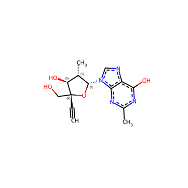 C#C[C@]1(CO)O[C@@H](n2cnc3c(O)nc(C)nc32)[C@@H](C)[C@@H]1O